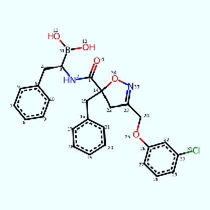 O=C(N[C@@H](Cc1ccccc1)B(O)O)C1(Cc2ccccc2)CC(COc2cccc(Cl)c2)=NO1